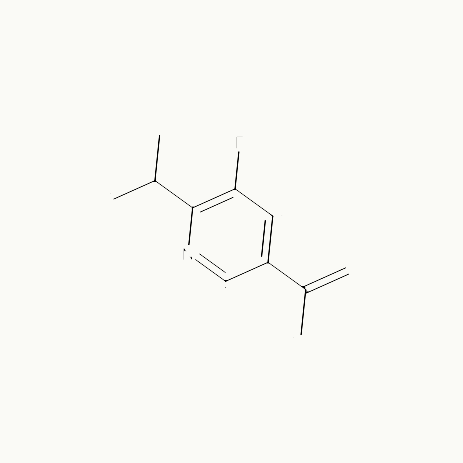 C=C(C)c1cnc(C(C)C)c(F)c1